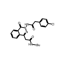 CC(C)(C)NC(=O)Cc1nn(NC(=O)Cc2ccc(Cl)cc2)c(=O)c2ccccc12